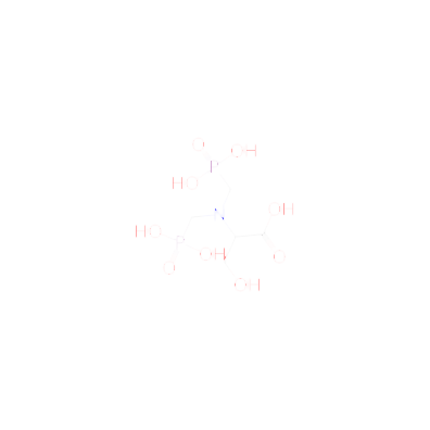 O=C(O)C(CO)N(CP(=O)(O)O)CP(=O)(O)O